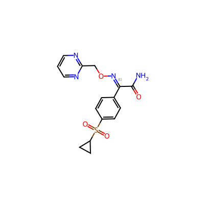 NC(=O)/C(=N/OCc1ncccn1)c1ccc(S(=O)(=O)C2CC2)cc1